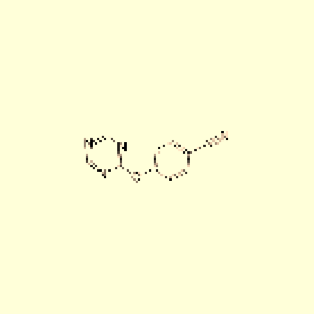 N#Cc1ccc(Oc2ncncn2)cc1